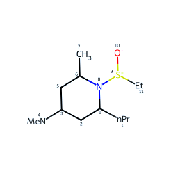 CCCC1CC(NC)CC(C)N1[S+]([O-])CC